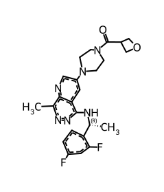 Cc1nnc(N[C@H](C)c2ccc(F)cc2F)c2cc(N3CCN(C(=O)C4COC4)CC3)cnc12